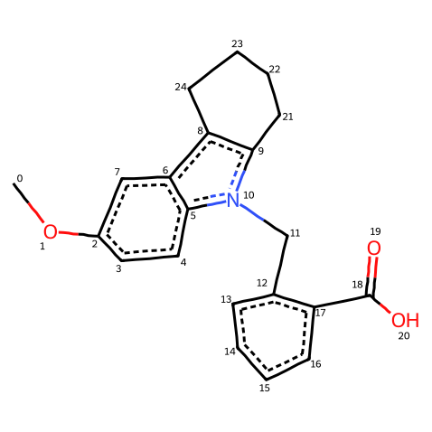 COc1ccc2c(c1)c1c(n2Cc2ccccc2C(=O)O)CCCC1